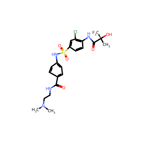 CN(C)CCNC(=O)c1ccc(NS(=O)(=O)c2ccc(NC(=O)[C@@](C)(O)C(F)(F)F)c(Cl)c2)cc1